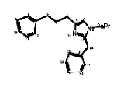 CCCn1cc(CCCc2ccccc2)nc1Cc1ccccc1